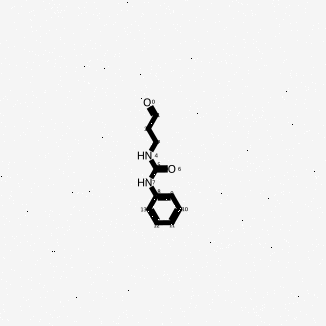 O=CCCNC(=O)Nc1ccccc1